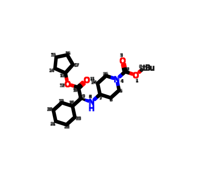 CC(C)(C)OC(=O)N1CCC(N[C@H](C(=O)OC2CCCC2)C2CCCCC2)CC1